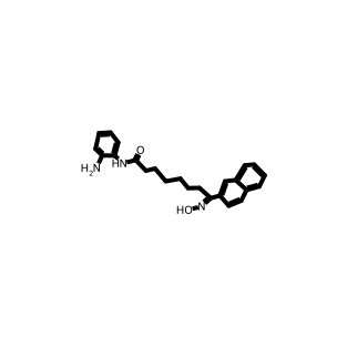 Nc1ccccc1NC(=O)CCCCCCC(=NO)c1ccc2ccccc2c1